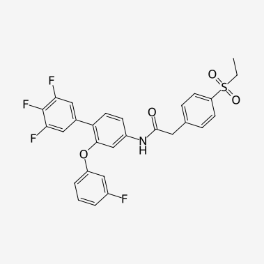 CCS(=O)(=O)c1ccc(CC(=O)Nc2ccc(-c3cc(F)c(F)c(F)c3)c(Oc3cccc(F)c3)c2)cc1